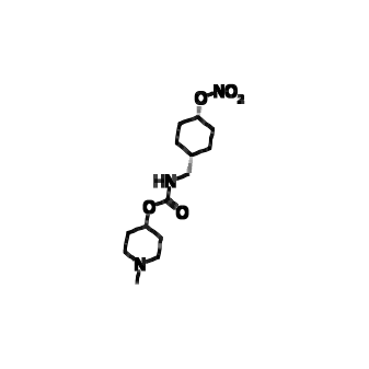 CN1CCC(OC(=O)NC[C@H]2CC[C@@H](O[N+](=O)[O-])CC2)CC1